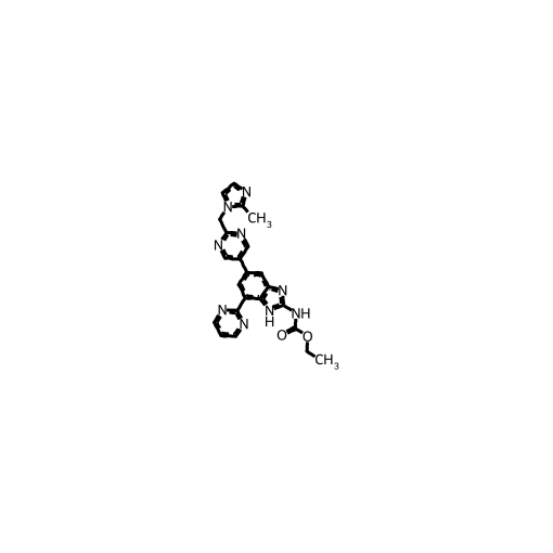 CCOC(=O)Nc1nc2cc(-c3cnc(Cn4ccnc4C)nc3)cc(-c3ncccn3)c2[nH]1